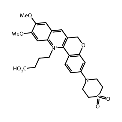 COc1cc2cc3c([n+](CCCC(=O)O)c2cc1OC)-c1ccc(N2CCS(=O)(=O)CC2)cc1OC3